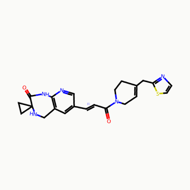 O=C(/C=C/c1cnc2c(c1)CNC1(CC1)C(=O)N2)N1CC=C(Cc2nccs2)CC1